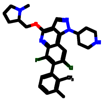 Cc1cccc(-c2c(Cl)cc3c(nc(OCC4CCCN4C)c4cnn(C5CCNCC5)c43)c2F)c1C(F)(F)F